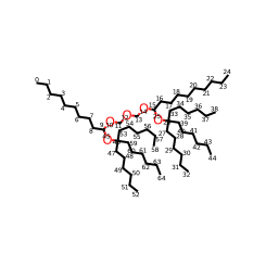 CCCCCCCCCC(OCOCOC(CCCCCCCCC)OC(CCCCCC)(CCCCCC)CCCCCC)OC(CCCCCC)(CCCCCC)CCCCCC